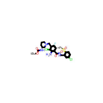 CCCS(=O)(=O)c1ccc(Cl)cc1CNC(=O)c1cc(F)c(CN2CCC[C@@H](NC(=O)OC(C)(C)C)C2)c(Cl)c1N